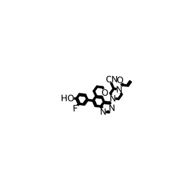 C=CC(=O)N1CCN(c2ncnc3cc(-c4ccc(O)c(F)c4)c4c(c23)OCCC4)CC1CC#N